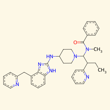 CCC(c1ccccn1)C(N1CCC(Nc2nc3c(Cc4ccccn4)cccc3[nH]2)CC1)N(C)C(=O)c1ccccc1